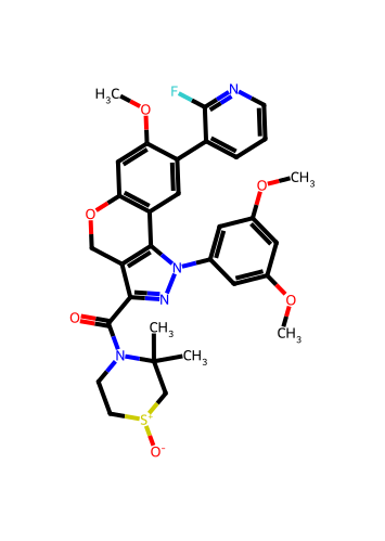 COc1cc(OC)cc(-n2nc(C(=O)N3CC[S+]([O-])CC3(C)C)c3c2-c2cc(-c4cccnc4F)c(OC)cc2OC3)c1